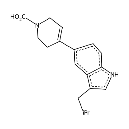 CC(C)Cc1c[nH]c2ccc(C3=CCN(C(=O)O)CC3)cc12